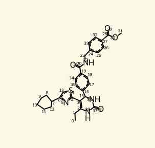 CCC1=C(c2nc(C3CCCCC3)cs2)C(c2ccc(C(=O)NCc3ccc(C(=O)OC)cc3)cc2)NC(=O)N1